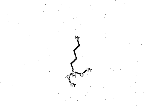 CC(C)O[SiH](CCCCBr)OC(C)C